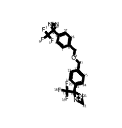 FC(F)(F)C1(c2ccc(COCc3ccc(C4(C(F)(F)F)N5CN54)cc3)cc2)N=N1